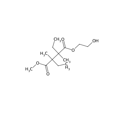 CCC(C)(C(=O)OC)C(C)(CC)C(=O)OCCO